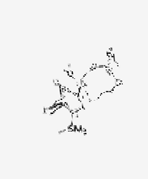 CSc1cc([C@]2(O)CCO[C@@H](C)C2)cs1